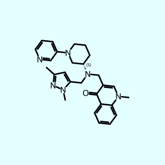 Cc1cc(CN(Cc2cn(C)c3ccccc3c2=O)[C@H]2CCCN(c3cccnc3)C2)n(C)n1